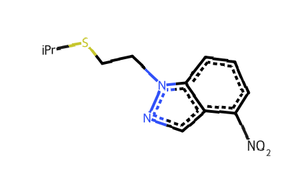 CC(C)SCCn1ncc2c([N+](=O)[O-])cccc21